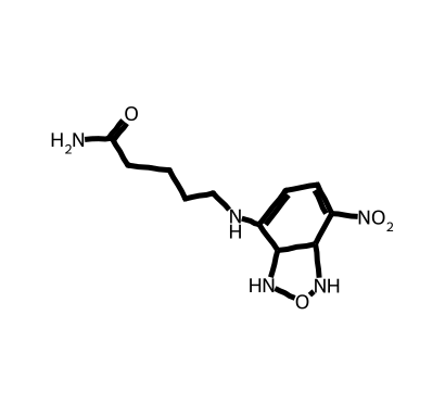 NC(=O)CCCCNC1=CC=C([N+](=O)[O-])C2NONC12